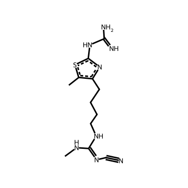 CN/C(=N/C#N)NCCCCc1nc(NC(=N)N)sc1C